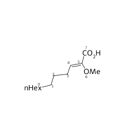 CCCCCCCCC/C=C(\OC)C(=O)O